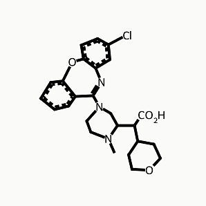 CN1CCN(C2=Nc3cc(Cl)ccc3Oc3ccccc32)CC1C(C(=O)O)C1CCOCC1